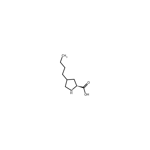 CCCCC1CN[C@H](C(=O)O)C1